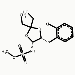 CCC1(CC)O[C@@H](NS(=O)(=O)OC)[C@@H](Cc2ccccc2Cl)O1